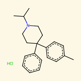 Cc1ccc(C2(c3ccccc3)CCN(C(C)C)CC2)cc1.Cl